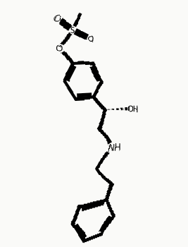 CS(=O)(=O)Oc1ccc([C@H](O)CNCCc2ccccc2)cc1